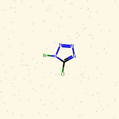 Clc1nnnn1Br